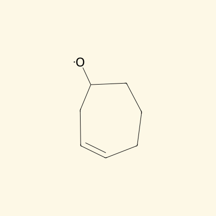 [O]C1CC=CCCC1